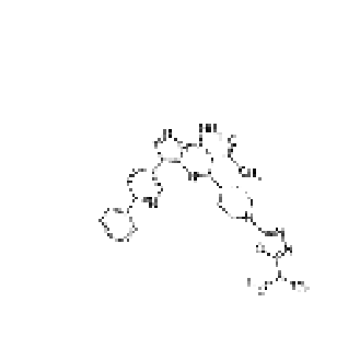 CC(=O)c1c(C2CCN(c3nnc(C(C)O)o3)CC2)nc2c(-c3ccc(-c4ccccc4)nc3)cnn2c1N